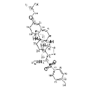 [C-]#[N+]C(=C1CC[C@H]2[C@@H]3CC=C4C=C(OCC(C)C)CC[C@]4(C)[C@H]3CC[C@]12C)S(=O)(=O)c1ccc(C)cc1